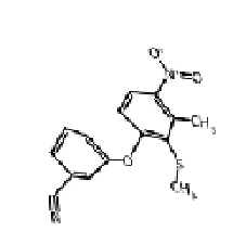 CSc1c(Oc2cccc(C#N)c2)ccc([N+](=O)[O-])c1C